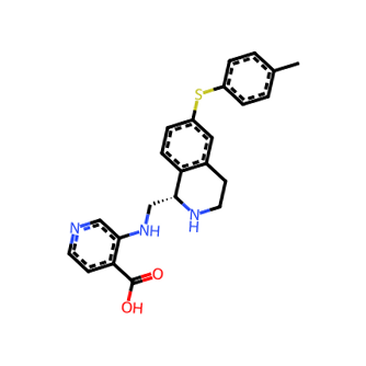 Cc1ccc(Sc2ccc3c(c2)CCN[C@@H]3CNc2cnccc2C(=O)O)cc1